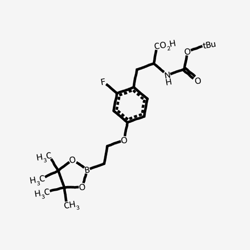 CC(C)(C)OC(=O)NC(Cc1ccc(OCCB2OC(C)(C)C(C)(C)O2)cc1F)C(=O)O